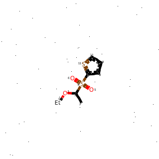 CCOC(C)S(=O)(=O)c1cccs1